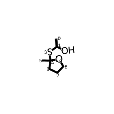 CC(O)SC1(C)CCCO1